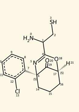 NC(CS)C1=N[C@]2(c3ccccc3Cl)CCC[C@H](O1)C2=O